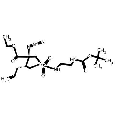 C=CC[C@H]1CN(S(=O)(=O)NCCNC(=O)OC(C)(C)C)C[C@@]1(N=[N+]=[N-])C(=O)OCC